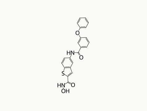 O=C(Nc1ccc2sc(C(=O)NO)cc2c1)c1cccc(Oc2ccccc2)c1